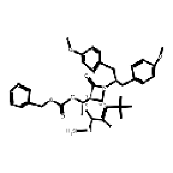 COc1ccc(CC(Cc2ccc(OC)cc2)N2C(=O)[C@H]([C@@H](C)OC(=O)OCc3ccccc3)[C@H]2C(=C(C)C(C)O[SiH3])C(C)(C)C)cc1